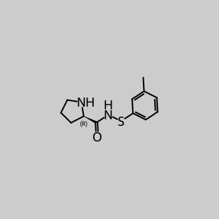 Cc1cccc(SNC(=O)[C@H]2CCCN2)c1